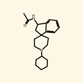 CC(=O)NC1CC2(CCN(C3CCCCC3)CC2)c2ccccc21